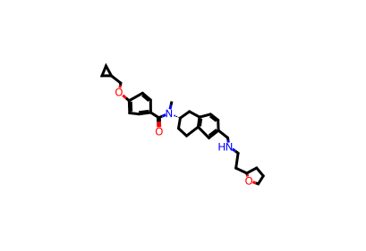 CN(C(=O)c1ccc(OCC2CC2)cc1)[C@H]1CCc2cc(CNCCC3CCCO3)ccc2C1